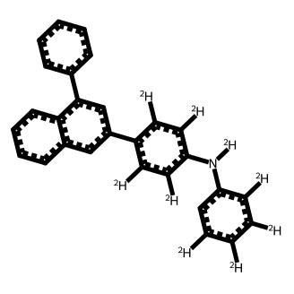 [2H]c1cc(N([2H])c2c([2H])c([2H])c(-c3cc(-c4ccccc4)c4ccccc4c3)c([2H])c2[2H])c([2H])c([2H])c1[2H]